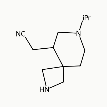 CC(C)N1CCC2(CNC2)C(CC#N)C1